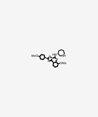 COc1ccc(-c2nc3c4cccc(OC)c4nc(N[C@@H]4CCCCNC4)n3n2)cc1